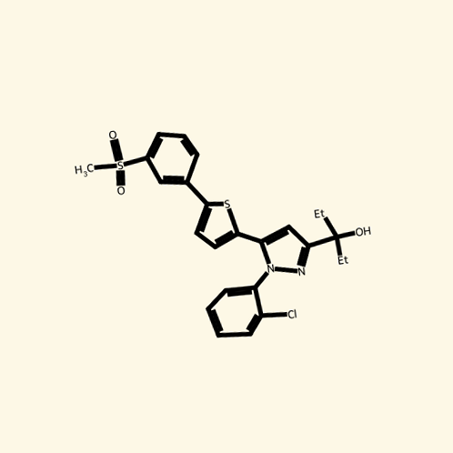 CCC(O)(CC)c1cc(-c2ccc(-c3cccc(S(C)(=O)=O)c3)s2)n(-c2ccccc2Cl)n1